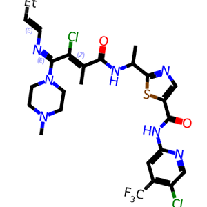 CC/C=C/N=C(\C(Cl)=C(/C)C(=O)NC(C)c1ncc(C(=O)Nc2cc(C(F)(F)F)c(Cl)cn2)s1)N1CCN(C)CC1